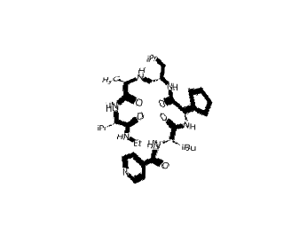 CCNC(=O)[C@@H](NC(=O)[C@H](C)NC[C@H](CC(C)C)NC(=O)[C@@H](NC(=O)[C@@H](NC(=O)c1ccncc1)[C@@H](C)CC)C1CCCC1)C(C)C